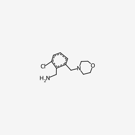 NCc1c(Cl)cccc1CN1CCOCC1